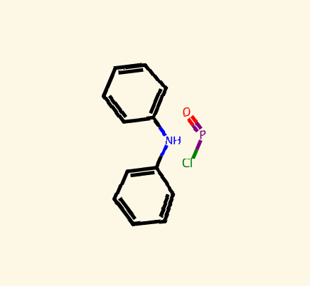 O=PCl.c1ccc(Nc2ccccc2)cc1